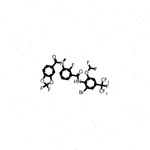 CN(C(=O)c1ccc2c(c1)OC(F)(F)O2)c1cccc(C(=O)Nc2c(Br)cc(C(F)(C(F)(F)F)C(F)(F)F)cc2OC(F)F)c1F